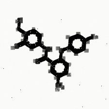 O=C(Nc1ccn(CCl)c(=O)c1)c1cc(C(F)(F)F)ccc1Oc1ccc(F)cc1